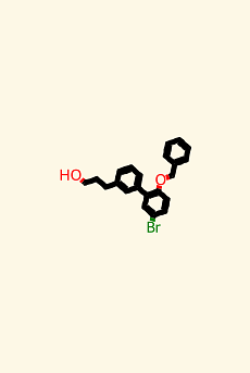 OCCCc1cccc(-c2cc(Br)ccc2OCc2ccccc2)c1